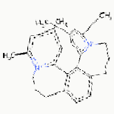 Cc1cc(C)[n+]2c(c1)-c1c(ccc3c1-c1cc(C)cc(C)[n+]1CCC3)CCC2